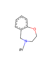 CC(C)N1CCOc2ccccc2C1